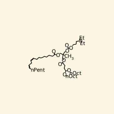 CCCCC/C=C\C/C=C\CCCCCCCC(=O)OCC(C)(COC(=O)CCC(OCCCCCCCC)OCCCCCCCC)COC(=O)OCCCN(CC)CC